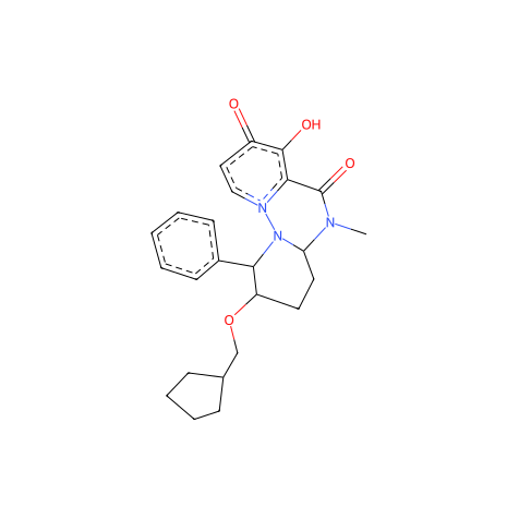 CN1C(=O)c2c(O)c(=O)ccn2N2C(c3ccccc3)C(OCC3CCCC3)CCC12